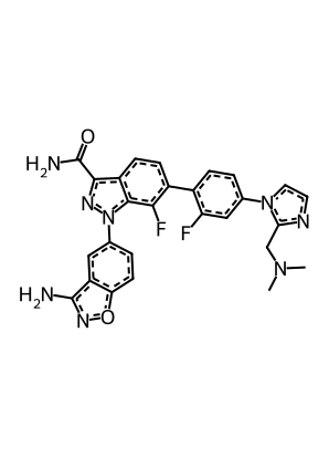 CN(C)Cc1nccn1-c1ccc(-c2ccc3c(C(N)=O)nn(-c4ccc5onc(N)c5c4)c3c2F)c(F)c1